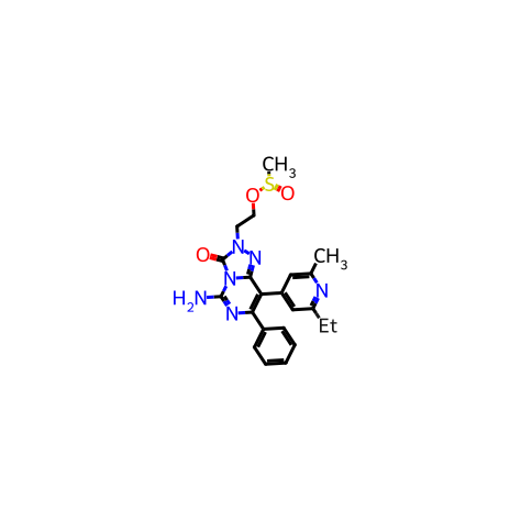 CCc1cc(-c2c(-c3ccccc3)nc(N)n3c(=O)n(CCOS(C)=O)nc23)cc(C)n1